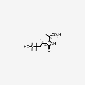 C[C@@H](C(=O)O)C1NC(=O)[C@@H]1[C@@H](C)CC(C)(C)[Si](C)(C)O